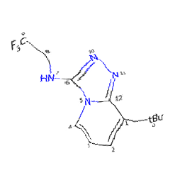 CC(C)(C)c1cccn2c(NCC(F)(F)F)nnc12